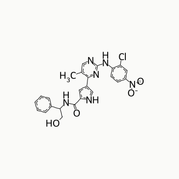 Cc1cnc(Nc2ccc([N+](=O)[O-])cc2Cl)nc1-c1c[nH]c(C(=O)NC(CO)c2ccccc2)c1